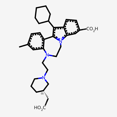 Cc1ccc2c(c1)N(CCN1CCC[C@@H](CC(=O)O)C1)CCn1c-2c(C2CCCCC2)c2ccc(C(=O)O)cc21